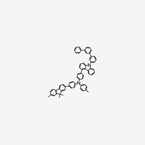 Cc1ccc(N(c2ccc(-c3ccc4c(c3)C(C)(C)c3cc(C)ccc3-4)cc2)c2ccc(-c3cccc4c3c3ccccc3n4-c3cccc(-c4cccc(-c5ccccc5)c4)c3)cc2)cc1